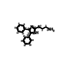 NCCSc1nc(-c2ccccc2)c(-c2ccccc2)[nH]1